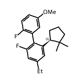 CCc1cc(F)c(-c2cc(OC)ccc2F)c([C@H]2CCCC2(C)C)c1